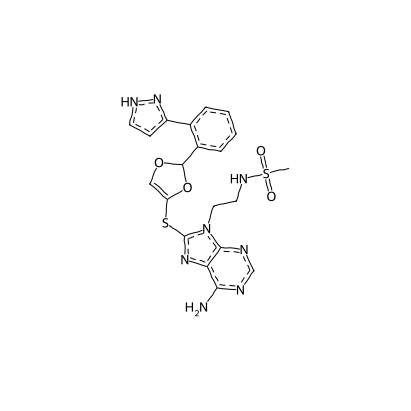 CS(=O)(=O)NCCn1c(SC2=COC(c3ccccc3-c3cc[nH]n3)O2)nc2c(N)ncnc21